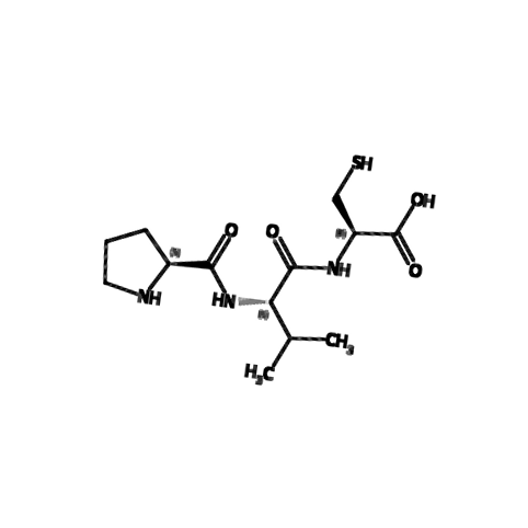 CC(C)[C@H](NC(=O)[C@@H]1CCCN1)C(=O)N[C@@H](CS)C(=O)O